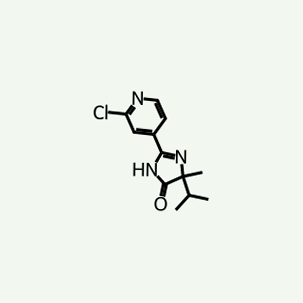 CC(C)C1(C)N=C(c2ccnc(Cl)c2)NC1=O